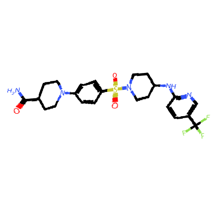 NC(=O)C1CCN(c2ccc(S(=O)(=O)N3CCC(Nc4ccc(C(F)(F)F)cn4)CC3)cc2)CC1